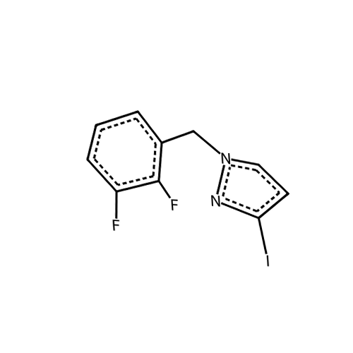 Fc1cccc(Cn2ccc(I)n2)c1F